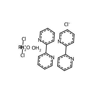 O.O.[Cl-].[Cl][Rh+][Cl].c1ccc(-c2ccccn2)nc1.c1ccc(-c2ccccn2)nc1